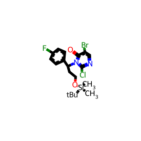 CC(C)(C)[Si](C)(C)OCCC(c1ccc(F)cc1)n1c(Cl)ncc(Br)c1=O